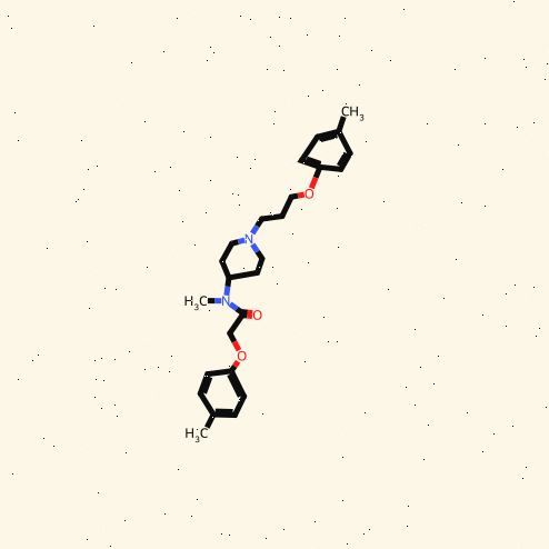 Cc1ccc(OCCCN2CCC(N(C)C(=O)COc3ccc(C)cc3)CC2)cc1